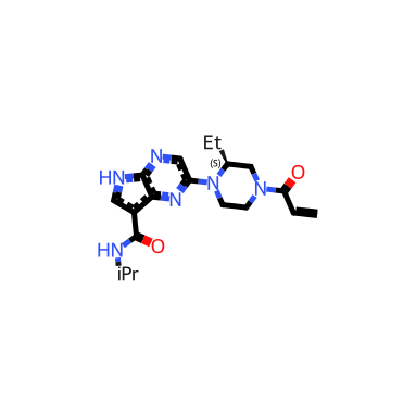 C=CC(=O)N1CCN(c2cnc3[nH]cc(C(=O)NC(C)C)c3n2)[C@@H](CC)C1